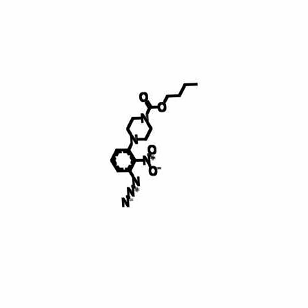 CCCCOC(=O)N1CCN(c2cccc(N=[N+]=[N-])c2[N+](=O)[O-])CC1